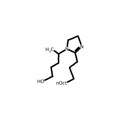 CCCCCCCCCCCC1=NCCN1C(C)CCCO